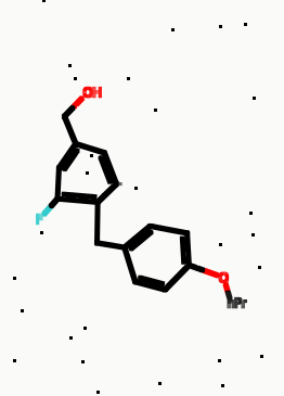 CCCOc1ccc(Cc2[c]cc(CO)cc2F)cc1